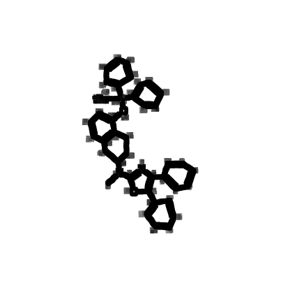 CN(c1nc(-c2ccccc2)c(-c2ccccc2)o1)C1CCc2c(cccc2O[Si](c2ccccc2)(c2ccccc2)C(C)(C)C)C1